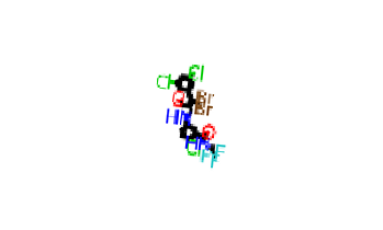 O=CC1(CNc2ccc(Cl)c(C(=O)NCC(F)(F)F)c2)C(c2cc(Cl)cc(Cl)c2)C1(Br)Br